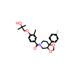 Cc1cc(C(=O)N2CCC3(c4ccc(F)cc4)OCOC3C2)ccc1OCC(C)(C)O